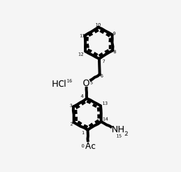 CC(=O)c1ccc(OCc2ccccc2)cc1N.Cl